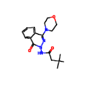 CC(C)(C)CC(=O)Nn1nc(N2CCOCC2)c2ccccc2c1=O